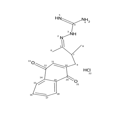 C/C(=N/NC(=N)N)C(C)CC1=CC(=O)c2ccccc2C1=O.Cl